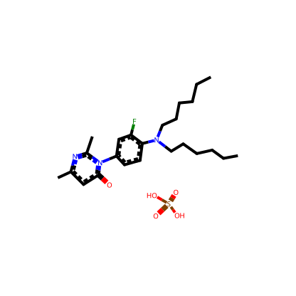 CCCCCCN(CCCCCC)c1ccc(-n2c(C)nc(C)cc2=O)cc1F.O=S(=O)(O)O